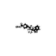 CC(C)(C)OC(=O)N1CC2C(C1)C2C(=O)NC(C)(C)c1noc2ccccc12